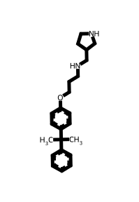 CC(C)(c1ccccc1)c1ccc(OCCCNCC2CCNC2)cc1